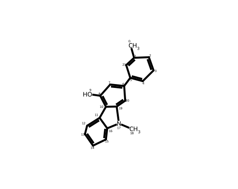 Cc1cccc(-c2cc(O)c3c4ccccc4n(C)c3c2)c1